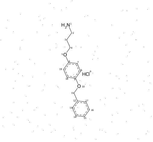 Cl.NCCCOc1ccc(OCc2ccccc2)cc1